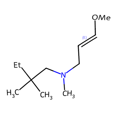 CCC(C)(C)CN(C)C/C=C/OC